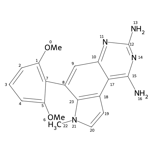 COc1cccc(OC)c1-c1cc2nc(N)nc(N)c2c2ccn(C)c12